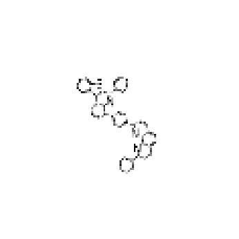 c1ccc(-c2ccc3ccc4ccc(-c5ccc(-c6cccc7c6nc(-c6ccccc6)c6sc8ccccc8c67)cc5)nc4c3n2)cc1